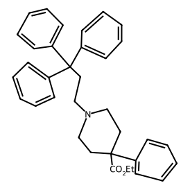 CCOC(=O)C1(c2ccccc2)CCN(CCC(c2ccccc2)(c2ccccc2)c2ccccc2)CC1